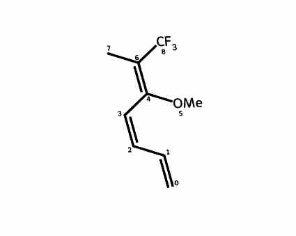 C=C/C=C\C(OC)=C(/C)C(F)(F)F